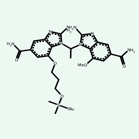 COc1cc(C(N)=O)cc2nc(N)n(C(C)n3c(N)nc4cc(C(N)=O)cc(OCCCO[Si](C)(C)C(C)(C)C)c43)c12